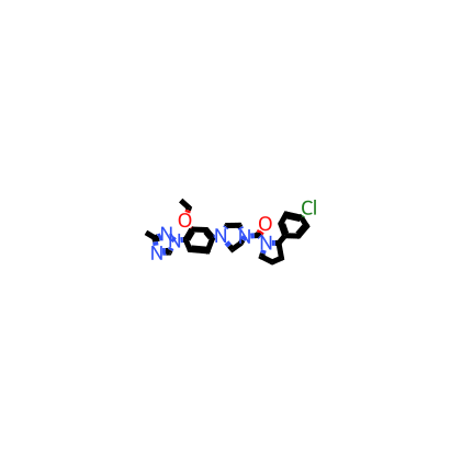 CCOc1cc(N2CCN(C(=O)N3CCCC3c3ccc(Cl)cc3)CC2)ccc1-n1cnc(C)n1